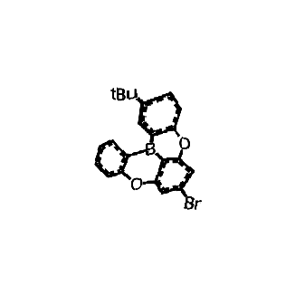 CC(C)(C)c1ccc2c(c1)B1c3ccccc3Oc3cc(Br)cc(c31)O2